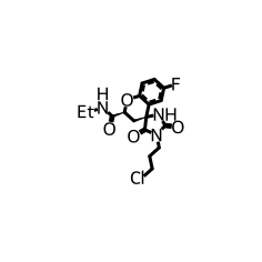 CCNC(=O)[C@@H]1C[C@]2(NC(=O)N(CCCCl)C2=O)c2cc(F)ccc2O1